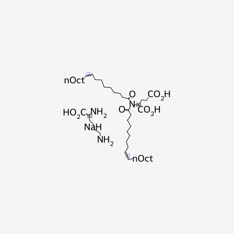 CCCCCCCC/C=C\CCCCCCCC(=O)N(C(=O)CCCCCCC/C=C\CCCCCCCC)[C@@H](CCC(=O)O)C(=O)O.NCCCC[C@H](N)C(=O)O.[NaH]